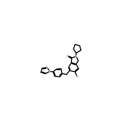 O=C1c2cc(Cc3ccc(-n4cccn4)cc3)c(Cl)cc2CN1C1CCCC1